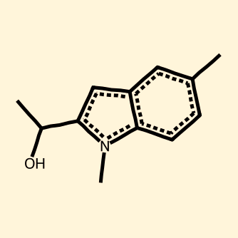 Cc1ccc2c(c1)cc(C(C)O)n2C